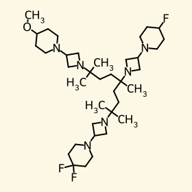 COC1CCN(C2CN(C(C)(C)CCC(C)(CCC(C)(C)N3CC(N4CCC(F)(F)CC4)C3)N3CC(N4CCC(F)CC4)C3)C2)CC1